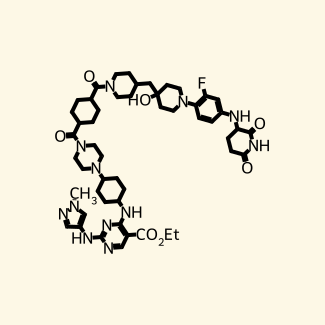 CCOC(=O)c1cnc(Nc2cnn(C)c2)nc1NC1CCC(N2CCN(C(=O)C3CCC(C(=O)N4CCC(CC5(O)CCN(c6ccc(NC7CCC(=O)NC7=O)cc6F)CC5)CC4)CC3)CC2)CC1